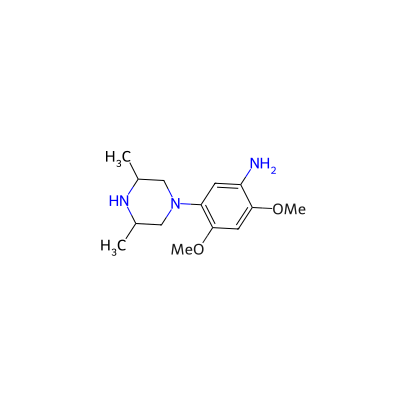 COc1cc(OC)c(N2CC(C)NC(C)C2)cc1N